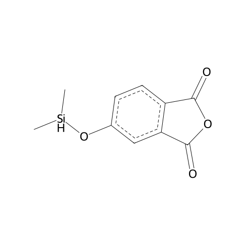 C[SiH](C)Oc1ccc2c(c1)C(=O)OC2=O